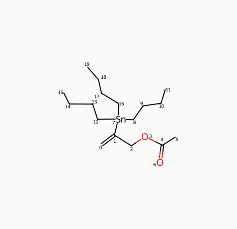 C=[C](COC(C)=O)[Sn]([CH2]CCC)([CH2]CCC)[CH2]CCC